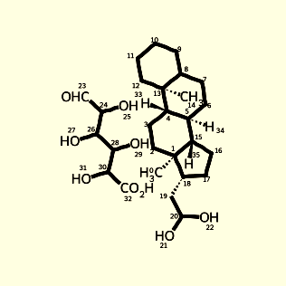 C[C@]12CC[C@H]3[C@@H](CCC4CCCC[C@@]43C)[C@@H]1CC[C@@H]2CC(O)O.O=CC(O)C(O)C(O)C(O)C(=O)O